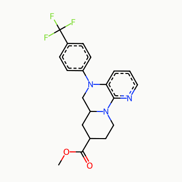 COC(=O)C1CCN2c3ncccc3N(c3ccc(C(F)(F)F)cc3)CC2C1